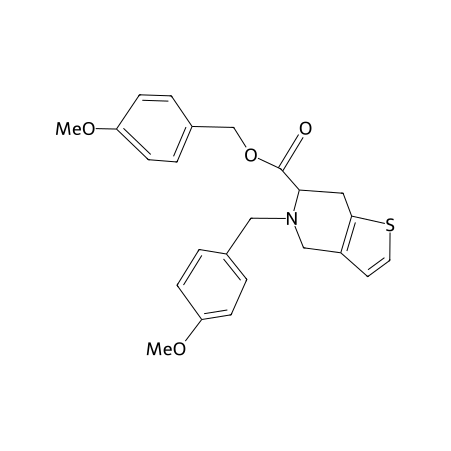 COc1ccc(COC(=O)C2Cc3sccc3CN2Cc2ccc(OC)cc2)cc1